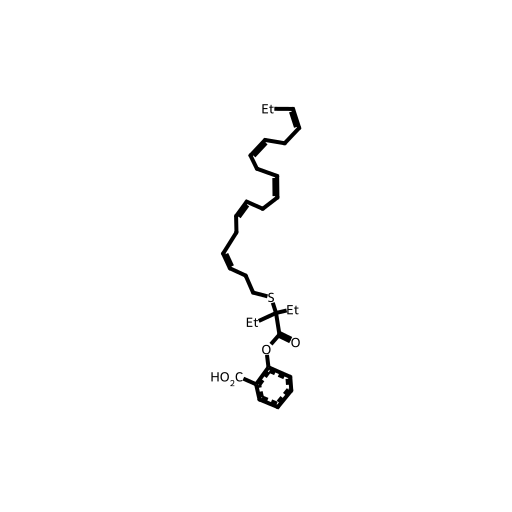 CC/C=C\C/C=C\C/C=C\C/C=C\C/C=C\CCSC(CC)(CC)C(=O)Oc1ccccc1C(=O)O